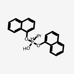 CC(C)[PH](O)(Oc1cccc2ccccc12)Oc1cccc2ccccc12